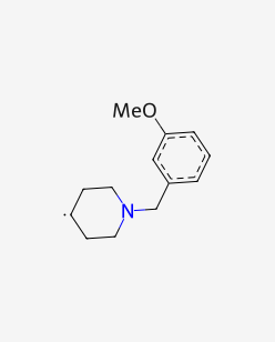 COc1cccc(CN2CC[CH]CC2)c1